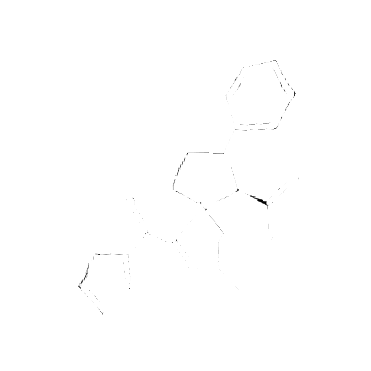 CCC[N+]1(C(=O)C(=O)c2cccs2)CCC(c2ccccc2)[C@H]1C(=O)[O-]